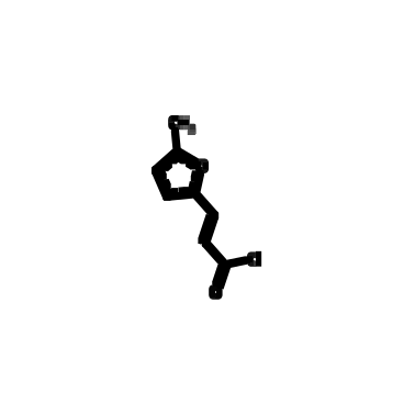 Cc1ccc(C=CC(=O)Cl)o1